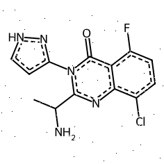 CC(N)c1nc2c(Cl)ccc(F)c2c(=O)n1-c1cc[nH]n1